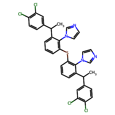 CC(c1ccc(Cl)c(Cl)c1)c1cccc(Sc2cccc(C(C)c3ccc(Cl)c(Cl)c3)c2-n2ccnc2)c1-n1ccnc1